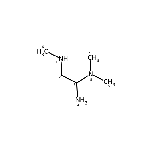 CNCC(N)N(C)C